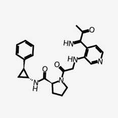 CC(=O)C(=N)c1ccncc1NCC(=O)N1CCC[C@H]1C(=O)N[C@@H]1C[C@H]1c1ccccc1